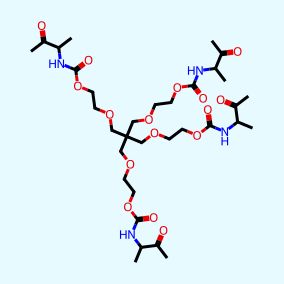 CC(=O)C(C)NC(=O)OCCOCC(COCCOC(=O)NC(C)C(C)=O)(COCCOC(=O)NC(C)C(C)=O)COCCOC(=O)NC(C)C(C)=O